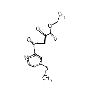 CCOC(=O)C(=O)CC(=O)c1cc(SC)ccn1